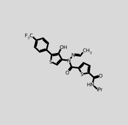 CC=NN(C(=O)c1ccc(C(=O)NC(C)C)s1)c1csc(-c2ccc(C(F)(F)F)cc2)c1O